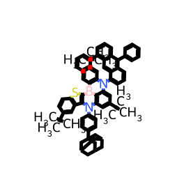 CC(C)(C)c1ccc2c(c1)N(c1cccc3c(-c4ccccc4)c4cccc(-c5ccccc5)c4cc13)c1cc(C(C)(C)C)cc3c1B2c1sc2ccc(C(C)(C)C)cc2c1N3c1ccc(C23CC4CC(CC(C4)C2)C3)cc1